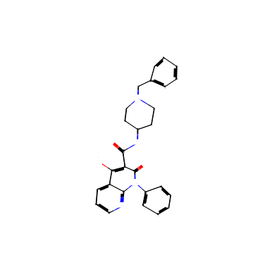 O=C(NC1CCN(Cc2ccccc2)CC1)c1c(O)c2cccnc2n(-c2ccccc2)c1=O